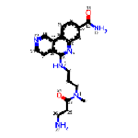 CN(CCCNc1nc2cc(C(N)=O)ccc2c2cnccc12)C(=O)CCN